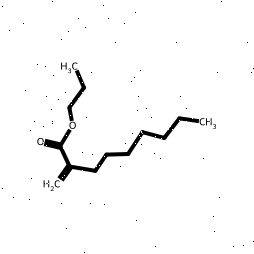 C=C(CCCCCCC)C(=O)OCCC